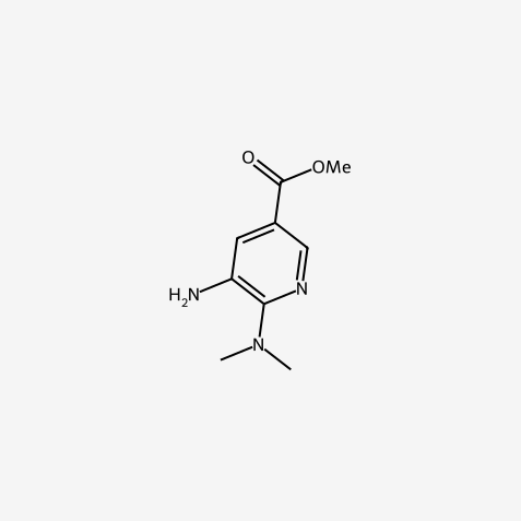 COC(=O)c1cnc(N(C)C)c(N)c1